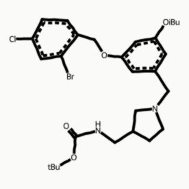 CC(C)COc1cc(CN2CCC(CNC(=O)OC(C)(C)C)C2)cc(OCc2ccc(Cl)cc2Br)c1